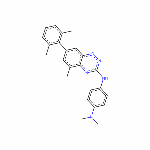 Cc1cccc(C)c1-c1cc(C)c2nc(Nc3ccc(N(C)C)cc3)nnc2c1